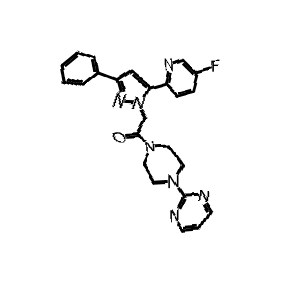 O=C(Cn1nc(-c2ccccc2)cc1-c1ccc(F)cn1)N1CCN(c2ncccn2)CC1